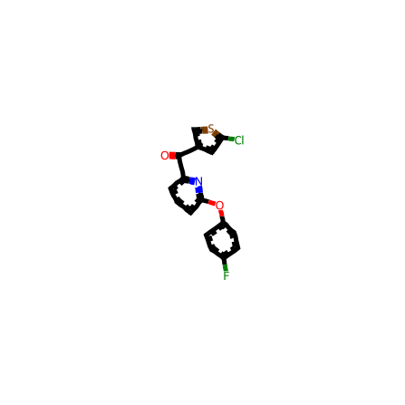 O=C(c1csc(Cl)c1)c1cccc(Oc2ccc(F)cc2)n1